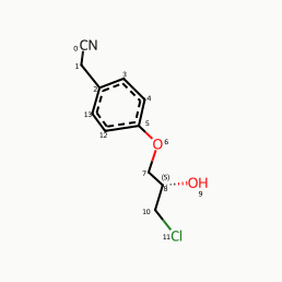 N#CCc1ccc(OC[C@H](O)CCl)cc1